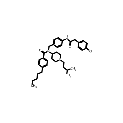 CCCCCc1ccc(C(=O)N(Cc2ccc(NC(=O)Cc3ccc(Cl)cc3)cc2)C2CCN(CCC(C)C)CC2)cc1